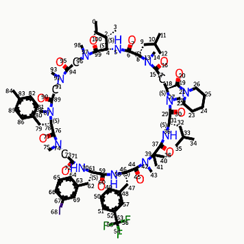 CC[C@H](C)[C@@H]1NC(=O)[C@H](CC(C)C)N(C)C(=O)C[C@@H](C(=O)N2CCCCC2)N(C)C(=O)[C@H](CC(C)C)NC(=O)C(C)(C)N(C)C(=O)[C@H](Cc2cccc(C(F)(F)F)c2)NC(=O)[C@H](Cc2cccc(I)c2)NC(=O)CN(C)C(=O)[C@H](Cc2ccc(C)cc2)N(C)C(=O)CN(C)C(=O)CN(C)C1=O